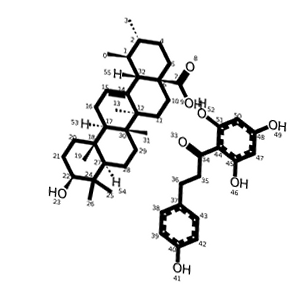 C[C@H]1[C@H](C)CC[C@]2(C(=O)O)CC[C@]3(C)C(=CC[C@@H]4[C@@]5(C)CC[C@H](O)C(C)(C)[C@@H]5CC[C@]43C)[C@H]12.O=C(CCc1ccc(O)cc1)c1c(O)cc(O)cc1O